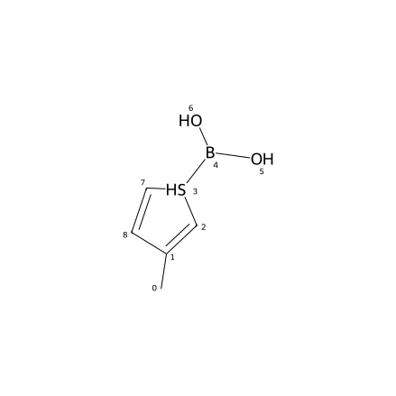 CC1=C[SH](B(O)O)C=C1